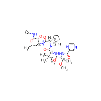 CCC[C@H](NC(=O)[C@@H]1[C@H]2CCC[C@H]2CN1C(=O)[C@@H](NC(=O)C(NC(=O)c1cnccn1)[C@@H](C)OC)C(C)(C)C)C(=O)C(=O)NC1CC1